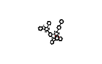 c1ccc(-c2ccc(-c3nc(-c4ccccc4)nc(-c4cc(-c5nc(-c6ccccc6)c6sc7ccccc7c6n5)ccc4-n4c5ccccc5c5ccccc54)n3)cc2)cc1